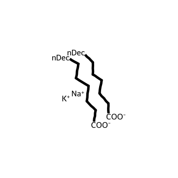 CCCCCCCCCCCCCCCC(=O)[O-].CCCCCCCCCCCCCCCC(=O)[O-].[K+].[Na+]